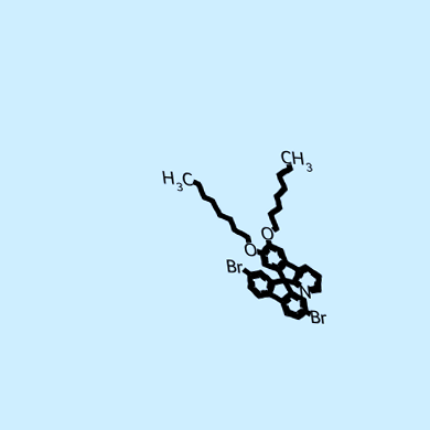 CCCCCCCCOc1cc2c(cc1OCCCCCCCC)C1(c3cc(Br)ccc3-c3ccc(Br)cc31)c1ncccc1-2